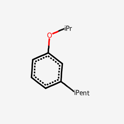 CCCC(C)c1cccc(OC(C)C)c1